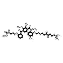 COc1c(C(=O)c2ccccc2OCCCNC(=O)OC(C)(C)C)ccc(C(=O)N(C)c2ccc(C)cc2OCCCCCC(=O)NCCCN(C)C)c1N